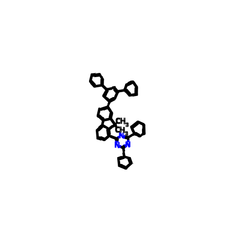 CC1(C)c2cc(-c3cc(-c4ccccc4)cc(-c4ccccc4)c3)ccc2-c2cccc(-c3nc(-c4ccccc4)nc(-c4ccccc4)n3)c21